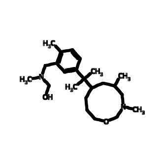 Cc1ccc(C(C)(C)C2CCCOCN(C)CC(C)C2)cc1CN(C)CO